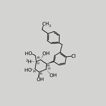 [2H][C@]1(CO)[C@H](O)[C@@H](c2ccc(Cl)c(Cc3ccc(CC)cc3)c2)[C@H](O)[C@@H](O)[C@@H]1O